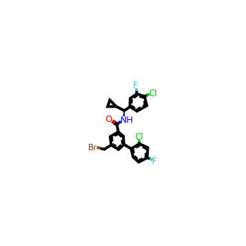 O=C(N[C@H](c1ccc(Cl)c(F)c1)C1CC1)c1cc(CBr)cc(-c2ccc(F)cc2Cl)c1